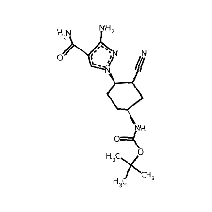 CC(C)(C)OC(=O)N[C@H]1CC[C@@H](n2cc(C(N)=O)c(N)n2)C(C#N)C1